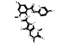 COc1cc(Cl)cc(C(=O)Nc2ccc(Cl)cn2)c1NC(=O)c1scc(CN(C)C(=O)SC)c1Cl